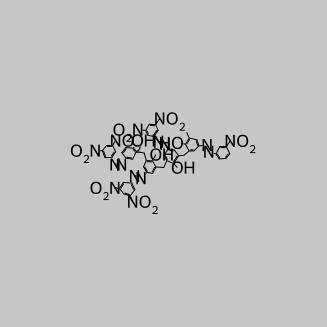 Cc1cc(N=Nc2cccc([N+](=O)[O-])c2)cc(Cc2cc(N=Nc3cc([N+](=O)[O-])cc([N+](=O)[O-])c3)cc(Cc3cc(N=Nc4cc([N+](=O)[O-])cc([N+](=O)[O-])c4)cc(Cc4cc(N=Nc5cc([N+](=O)[O-])cc([N+](=O)[O-])c5)ccc4O)c3O)c2O)c1O